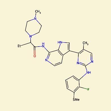 CCC(C(=O)Nc1nccc2c(-c3nc(Nc4cccc(SC)c4F)ncc3C)c[nH]c12)N1CCN(C)CC1